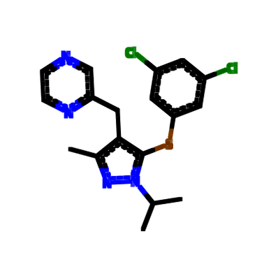 Cc1nn(C(C)C)c(Sc2cc(Cl)cc(Cl)c2)c1Cc1cnccn1